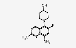 Cc1ccc2c(N3CCC(O)CC3)c(F)cc(N)c2n1